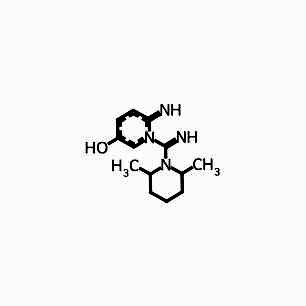 CC1CCCC(C)N1C(=N)n1cc(O)ccc1=N